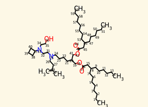 CCCCCCCCC(CCCCCC)CC(=O)OCC(CCCCN(CCC(C)C)CCN(CCO)C1CCC1)COC(=O)CC(CCCCCC)CCCCCCCC